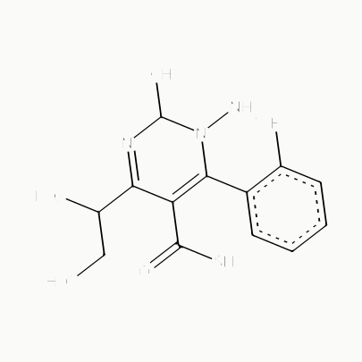 CCC(C)C1=NC(C)N(N)C(c2ccccc2F)=C1C(=O)S